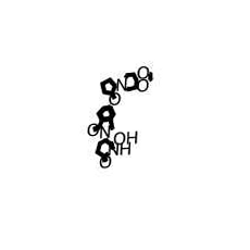 O=C1CCC(N2Cc3cc(OC4CCCC4N4CCC5(CC4)OCCO5)ccc3C2=O)C(O)N1